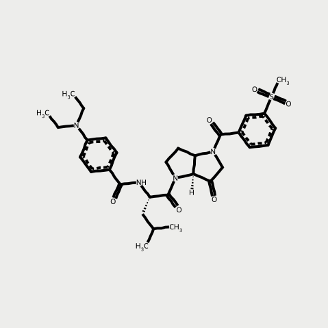 CCN(CC)c1ccc(C(=O)N[C@@H](CC(C)C)C(=O)N2CCC3[C@H]2C(=O)CN3C(=O)c2cccc(S(C)(=O)=O)c2)cc1